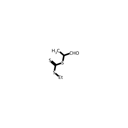 CCSC(=S)SC(C)C=O